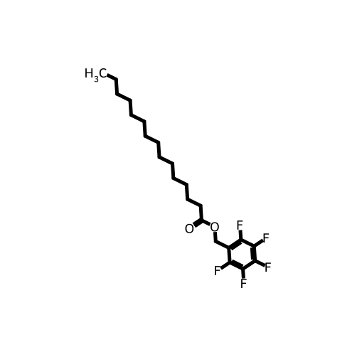 CCCCCCCCCCCCCCC(=O)OCc1c(F)c(F)c(F)c(F)c1F